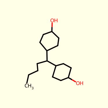 CCCCC(C1CCC(O)CC1)C1CCC(O)CC1